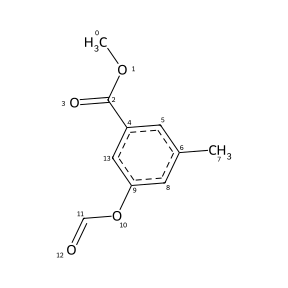 COC(=O)c1cc(C)cc(OC=O)c1